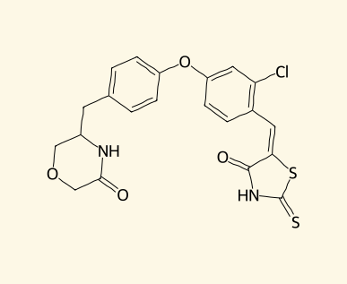 O=C1COCC(Cc2ccc(Oc3ccc(C=C4SC(=S)NC4=O)c(Cl)c3)cc2)N1